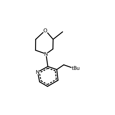 CC1CN(c2ncccc2CC(C)(C)C)CCO1